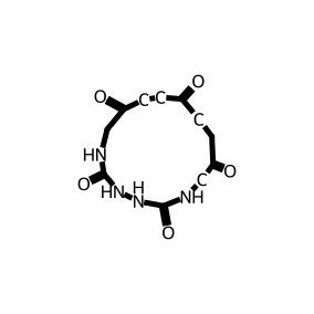 O=C1CCC(=O)CNC(=O)NNC(=O)NCC(=O)CC1